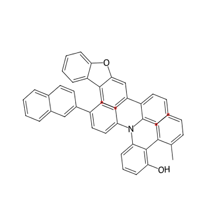 Cc1ccccc1-c1c(O)cccc1N(c1ccc(-c2ccc3ccccc3c2)cc1)c1ccccc1-c1ccc2c(c1)oc1ccccc12